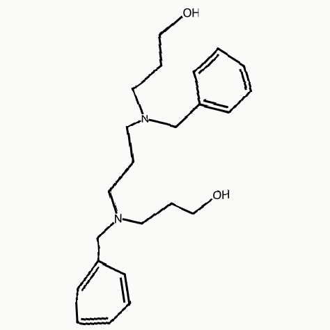 OCCCN(CCCN(CCCO)Cc1ccccc1)Cc1ccccc1